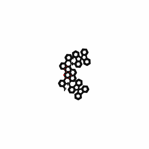 Fc1cccc(-c2ccccc2)c1N(c1cccc2c1-c1ccccc1C21c2ccccc2-c2ccccc21)c1ccc2ccc3c(N(c4cccc5c4-c4ccccc4C54c5ccccc5-c5ccccc54)c4c(F)cccc4-c4ccccc4)ccc4ccc1c2c43